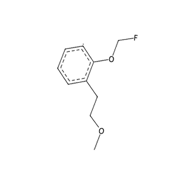 COCCc1ccc[c]c1OCF